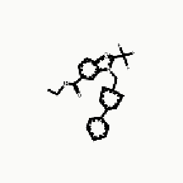 CCOC(=O)c1ccc2nc(C(F)(F)F)n(Cc3ccc(-c4ccccc4)cc3)c2c1